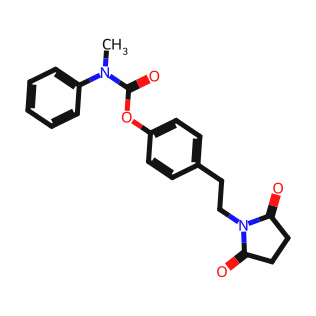 CN(C(=O)Oc1ccc(CCN2C(=O)CCC2=O)cc1)c1ccccc1